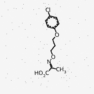 CC(=NOCCCOc1ccc(Cl)cc1)C(=O)O